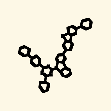 c1ccc(-c2ccc(-c3nc(-c4ccccc4)nc(-n4c5ccccc5c5cc(-c6ccc7c(c6)oc6ccc(-c8ccccc8)cc67)ccc54)n3)cc2)cc1